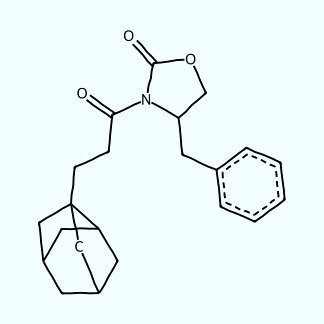 O=C(CCC12CC3CC(CC1C3)C2)N1C(=O)OCC1Cc1ccccc1